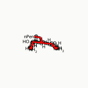 CCCCCNC(=O)NCCCC/C=C\CCCCCCC(=O)NC(CC(=O)NCCOCCOCCNC(=O)CC[C@H](NC(=O)c1ccc(NCc2cnc3nc(N)[nH]c(=O)c3n2)cc1)C(=O)O)C(=O)NCCOCCOCCNC(=O)CC[C@H](NC(=O)c1ccc(NCc2cnc3nc(N)[nH]c(=O)c3n2)cc1)C(=O)O